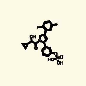 O=C(C(O)C1CC1)N1CC(c2cc(F)ccc2F)=CC1c1cccc(OP(=O)(O)O)c1